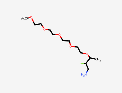 CC(=O)OOCCOCCOCCOCCOC(C)C(F)CN